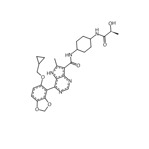 Cc1[nH]c2c(-c3c(OCC4CC4)ccc4c3OCO4)ncnc2c1C(=O)NC1CCC(NC(=O)[C@H](C)O)CC1